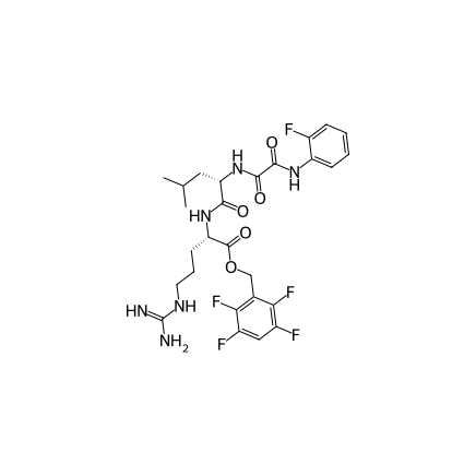 CC(C)C[C@H](NC(=O)C(=O)Nc1ccccc1F)C(=O)N[C@@H](CCCNC(=N)N)C(=O)OCc1c(F)c(F)cc(F)c1F